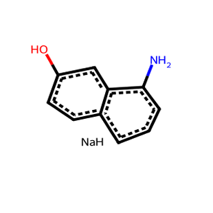 Nc1cccc2ccc(O)cc12.[NaH]